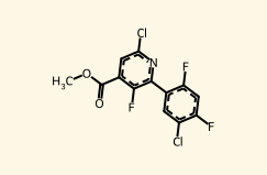 COC(=O)c1cc(Cl)nc(-c2cc(Cl)c(F)cc2F)c1F